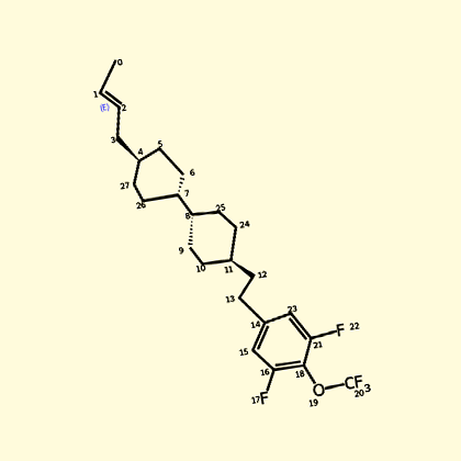 C/C=C/C[C@H]1CC[C@H]([C@H]2CC[C@H](CCc3cc(F)c(OC(F)(F)F)c(F)c3)CC2)CC1